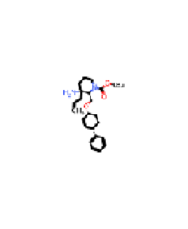 C=CC[C@]1(N)CCCN(C(=O)OC(C)(C)C)[C@H]1CO[C@H]1CC[C@@H](c2ccccc2)CC1